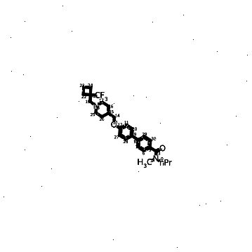 CCCN(C)C(=O)c1ccc(-c2ccc(OCC3CCN(CC4(C(F)(F)F)CCC4)CC3)cc2)cc1